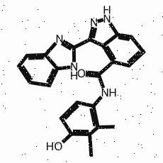 Cc1c(O)ccc(NC(=O)c2cccc3[nH]nc(-c4nc5ccccc5[nH]4)c23)c1C